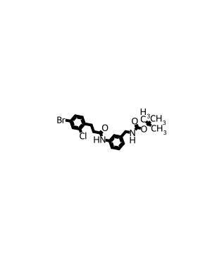 CC(C)(C)OC(=O)NCc1cccc(NC(=O)CCc2ccc(Br)cc2Cl)c1